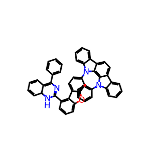 C1=CC2=C(c3ccccc3)N=C(c3cccc4oc5cc(-n6c7ccccc7c7ccc8c9ccccc9n(-c9ccccc9)c8c76)ccc5c34)NC2C=C1